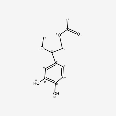 COC(COC(C)=O)c1ccc(O)c(O)c1